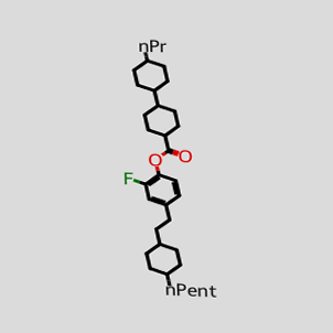 CCCCCC1CCC(CCc2ccc(OC(=O)C3CCC(C4CCC(CCC)CC4)CC3)c(F)c2)CC1